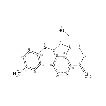 C=C1CCC(CO)(COSc2ccc(C)cc2)c2cccnc21